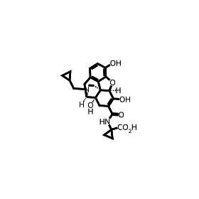 O=C(NC1(C(=O)O)CC1)C1=C(O)[C@@H]2Oc3c(O)ccc4c3[C@@]23CCN(CC2CC2)[C@H](C4)[C@]3(O)C1